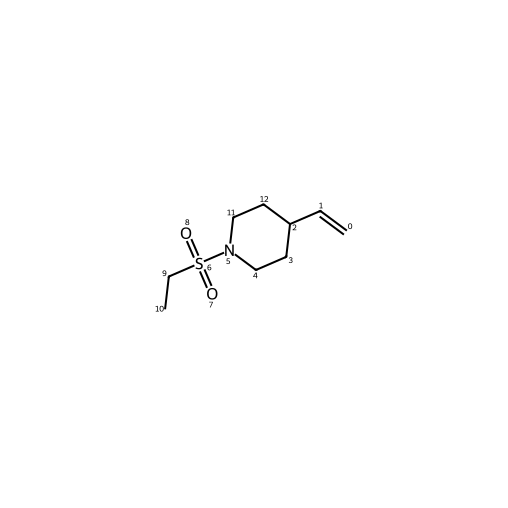 C=CC1CCN(S(=O)(=O)CC)CC1